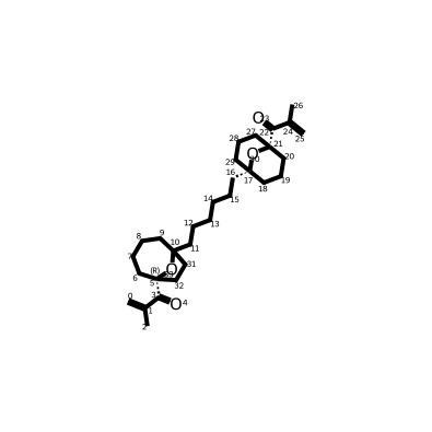 C=C(C)C(=O)[C@@]12CCCCC(CCCCCC[C@]34CCC[C@](C(=O)C(=C)C)(CCC3)O4)(CC1)O2